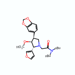 CCCCN(CCCC)C(=O)CN1C[C@H](c2ccc3c(c2)OCO3)[C@H](OC(=O)O)[C@H]1c1ccoc1